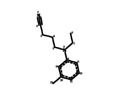 CCN(CCCC#N)c1cc[c]c(C)c1